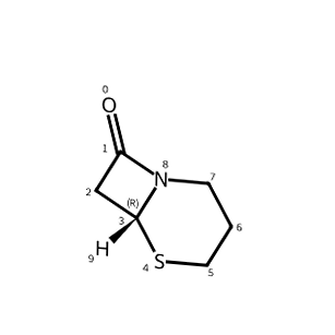 O=C1C[C@H]2SCCCN12